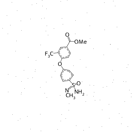 CN=S(N)(=O)c1ccc(Oc2ccc(C(=O)OC)cc2C(F)(F)F)cc1